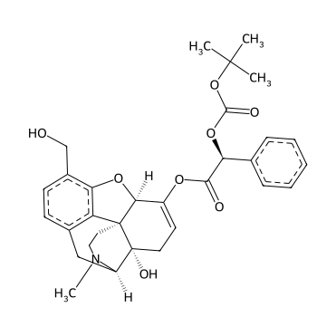 CN1CC[C@]23c4c5ccc(CO)c4O[C@H]2C(OC(=O)[C@@H](OC(=O)OC(C)(C)C)c2ccccc2)=CC[C@@]3(O)[C@H]1C5